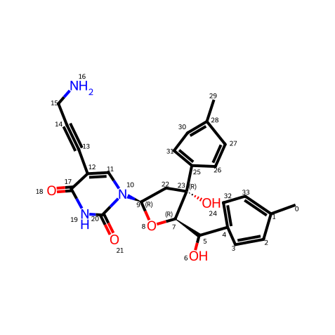 Cc1ccc(C(O)[C@H]2O[C@@H](n3cc(C#CCN)c(=O)[nH]c3=O)C[C@@]2(O)c2ccc(C)cc2)cc1